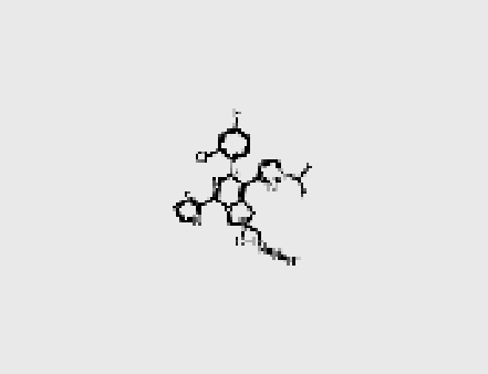 [N-]=[N+]=NC[C@@]1(O)CC2=C(c3ccn(C(F)F)n3)[C@H](c3ccc(F)cc3Cl)N=C(c3nccs3)N2C1